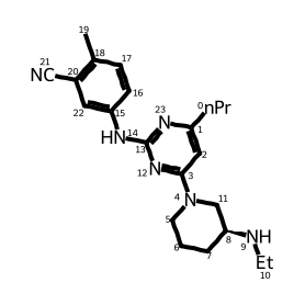 CCCc1cc(N2CCC[C@H](NCC)C2)nc(Nc2ccc(C)c(C#N)c2)n1